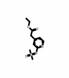 CCOC(=O)Cc1ccnc(N=S(C)(C)=O)c1